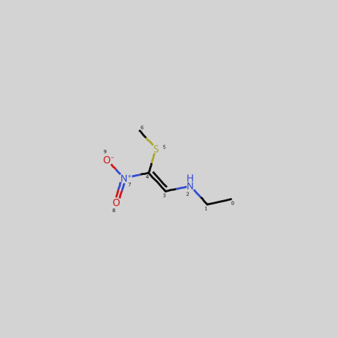 CCNC=C(SC)[N+](=O)[O-]